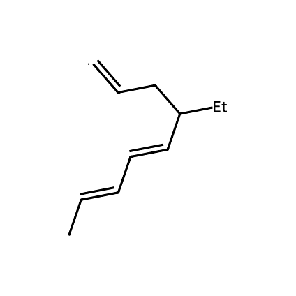 [CH]=CCC(C=CC=CC)CC